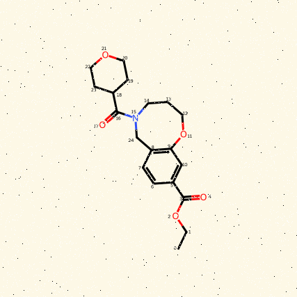 CCOC(=O)c1ccc2c(c1)OCCCN(C(=O)C1CCOCC1)C2